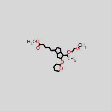 COCCOC(C)C1C(OC2CCCCO2)CC2C(=CCCCC(=O)OC)CCC21